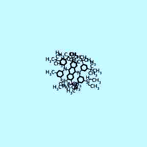 CC[SiH2]c1cc(C)cc(N(c2cc(C(C)(C)C)cc(C(C)(C)C)c2)c2c3ccc(C(C)(C)C)cc3c(N(c3cc([SiH](CC)CC)cc([SiH](CC)CC)c3)c3cc(C(C)(C)C)cc(C(C)(C)C)c3)c3ccc(C(C)(C)C)cc23)c1